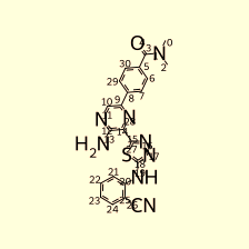 CN(C)C(=O)c1ccc(-c2cnc(N)c(-c3nnc(Nc4ccccc4C#N)s3)n2)cc1